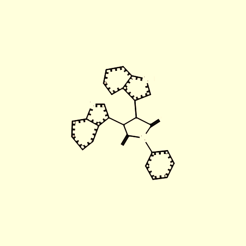 O=C1C(c2c[nH]c3ccccc23)C(c2c[nH]c3ccccc23)C(=O)N1c1ccccc1